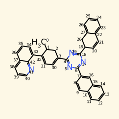 CC1CC(c2nc(-c3ccc4ccccc4c3)nc(C3C=Cc4ccccc4C3)n2)=CC=C1c1cccc2cccnc12